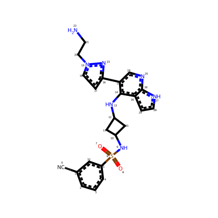 N#Cc1cccc(S(=O)(=O)NC2CC(Nc3c(-c4ccn(CCN)n4)cnc4[nH]ccc34)C2)c1